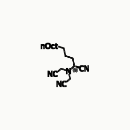 CCCCCCCCCCC[C@@H](C#N)N(CC#N)CC#N